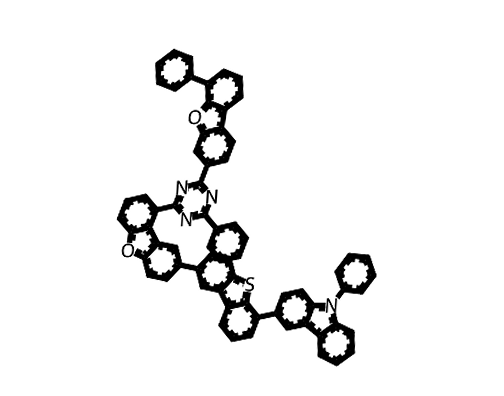 c1ccc(-c2nc(-c3ccc4c(c3)oc3c(-c5ccccc5)cccc34)nc(-c3cccc4oc5ccc(-c6ccc7sc8c(-c9ccc%10c(c9)c9ccccc9n%10-c9ccccc9)cccc8c7c6)cc5c34)n2)cc1